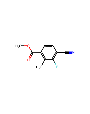 COC(=O)c1ccc(C#N)c(F)c1C